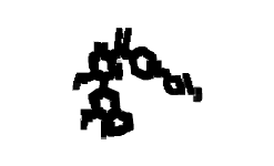 CCN1CCC(Nc2ncc(F)c(-c3cc(F)c4ncccc4c3)n2)CC1